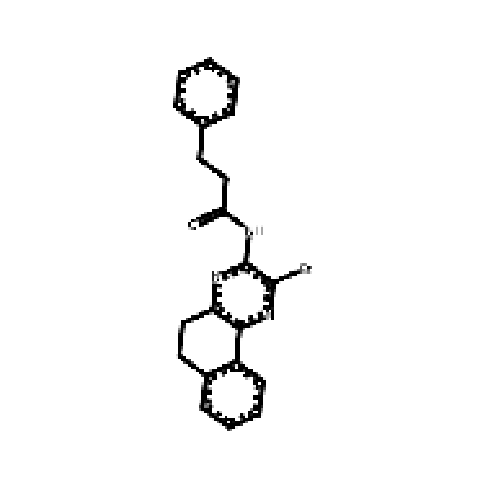 CCc1nc2c(nc1NC(=O)CCc1ccccc1)CCc1ccccc1-2